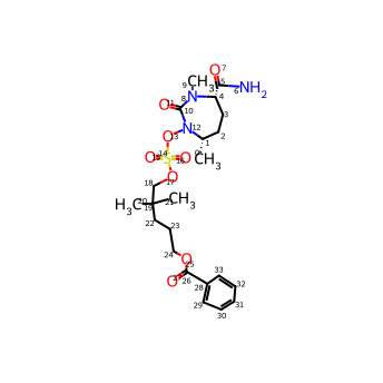 C[C@H]1CC[C@@H](C(N)=O)N(C)C(=O)N1OS(=O)(=O)OCC(C)(C)CCCOC(=O)c1ccccc1